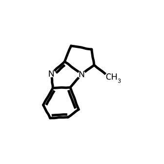 CC1CCc2nc3ccccc3n21